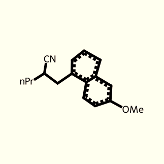 CCCC(C#N)Cc1cccc2cc(OC)ccc12